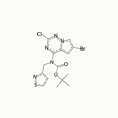 CC(C)(C)OC(=O)N(Cc1ccsn1)c1nc(Cl)nn2cc(Br)cc12